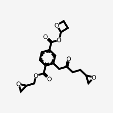 O=C(CCC1CO1)Cc1cc(C(=O)OC2CCO2)ccc1C(=O)OCC1CO1